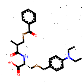 CCN(CC)c1ccc(CSC[C@@H](NC(=O)C(C)CSC(=O)c2ccccc2)C(=O)O)cc1